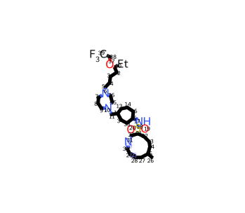 CCC(CCCCN1CCCN(CC2CCCC(NS(=O)(=O)C3CCCC(C)C/C=C\C=N/C3)CC2)CC1)OCC(F)(F)F